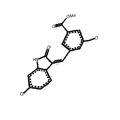 COC(=O)c1cc(Cl)cc(/C=C2\C(=O)Nc3cc(Cl)ccc32)c1